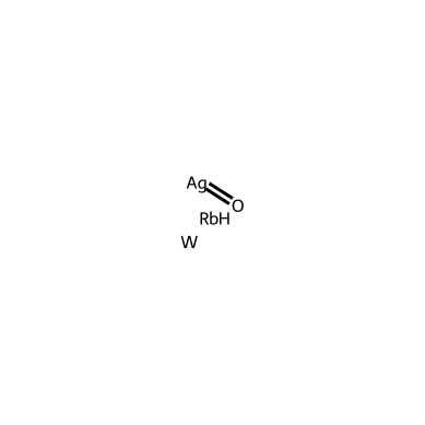 [O]=[Ag].[RbH].[W]